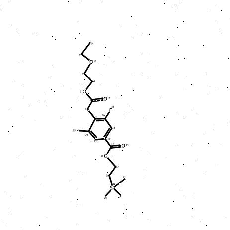 CCOCCOC(=O)Cc1c(F)cc(C(=O)OCC[Si](C)(C)C)cc1F